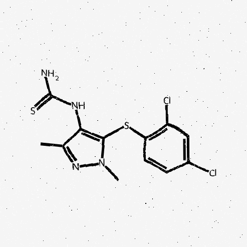 Cc1nn(C)c(Sc2ccc(Cl)cc2Cl)c1NC(N)=S